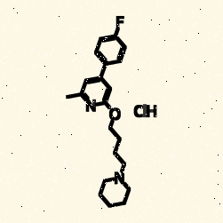 Cc1cc(-c2ccc(F)cc2)cc(OCCCCN2CCCCC2)n1.Cl